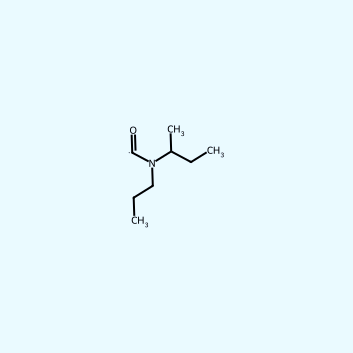 CCCN([C]=O)C(C)CC